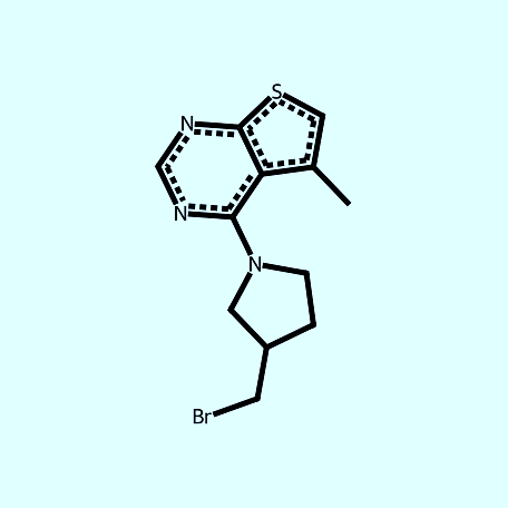 Cc1csc2ncnc(N3CCC(CBr)C3)c12